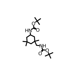 CC1(C)CC(NC(=O)OC(C)(C)C)CC(C)(CNC(=O)OC(C)(C)C)C1